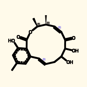 Cc1cc(O)c2c(c1)/C=C/CC(O)C(O)C(=O)/C=C\[C@@H](C)[C@H](C)OC2=O